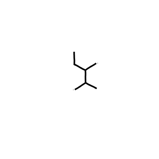 [CH2]C(C)C([CH2])CC